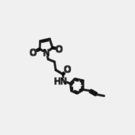 CC#Cc1ccc(NC(=O)CCCN2C(=O)C=CC2=O)cc1